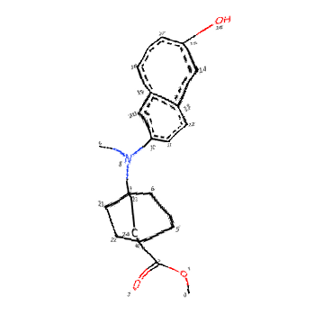 COC(=O)C12CCC(N(C)c3ccc4cc(O)ccc4c3)(CC1)CC2